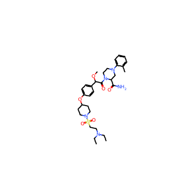 CCN(CC)CCS(=O)(=O)N1CCC(Oc2ccc(C(OC)C(=O)N3CCN(c4ccccc4C)CC3C(N)=O)cc2)CC1